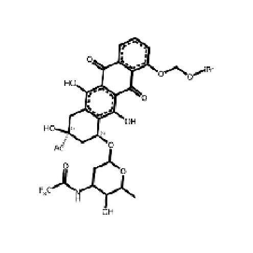 CC(=O)[C@]1(O)Cc2c(O)c3c(c(O)c2[C@@H](OC2CC(NC(=O)C(F)(F)F)C(O)C(C)O2)C1)C(=O)c1c(OCOC(C)C)cccc1C3=O